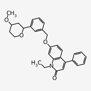 CCn1c(=O)cc(-c2ccccc2)c2ccc(OCc3cccc(C4CC(OC)CCO4)c3)cc21